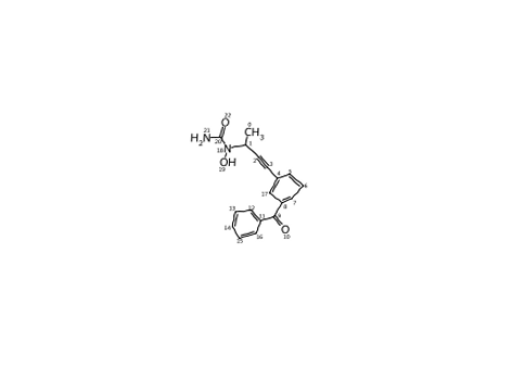 CC(C#Cc1cccc(C(=O)c2ccccc2)c1)N(O)C(N)=O